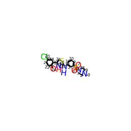 CN1CCN(S(=O)(=O)c2cccc(Nc3nc(-c4cc(Cl)ccc4O)cs3)c2)CC1